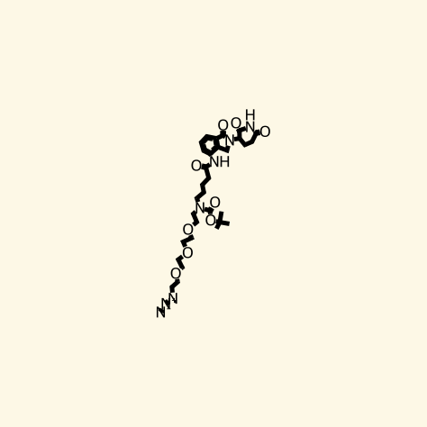 CC(C)(C)OC(=O)N(CCCCC(=O)Nc1cccc2c1CN(C1CCC(=O)NC1=O)C2=O)CCOCCOCCOCCN=[N+]=[N-]